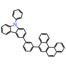 c1ccc(-n2c3ccccc3c3cc(-c4cccc(-c5cc6ccc7ccccc7c6c6ccccc56)c4)ccc32)cc1